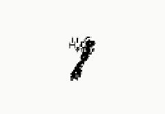 Cc1cccc(NC(=O)c2ccc(OCc3ccncc3)cc2)c1C